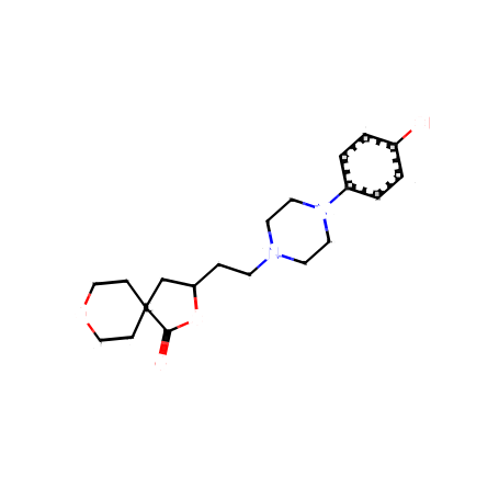 O=C1OC(CCN2CCN(c3ccc(O)cc3)CC2)CC12CCOCC2